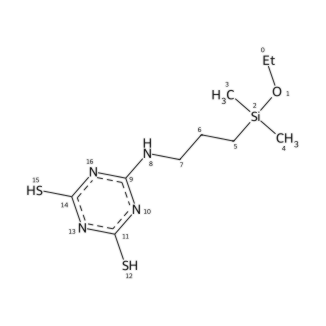 CCO[Si](C)(C)CCCNc1nc(S)nc(S)n1